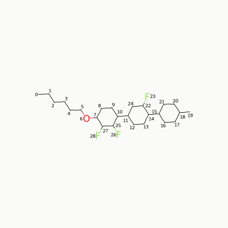 CCCCCCOC1CCC(C2CCC(C3CCC(C)CC3)C(F)C2)C(F)C1F